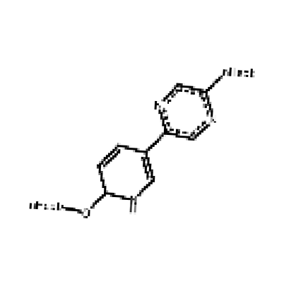 CCCCCCCOC1C=CC(c2cnc(CCCCCCC)cn2)=CN1